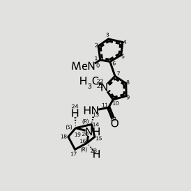 CNc1ccccc1-c1ccc(C(=O)N[C@@H]2C[C@H]3CC[C@@H]2N3)n1C